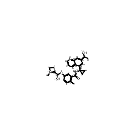 Cc1ccc(O[C@@H](S)[C@@H]2CCN2C)cc1C(=O)NC1(c2cc(C(C)O)cc3ncccc23)CC1